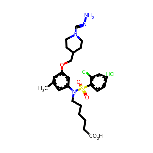 Cc1cc(OCC2CCN(C=NN)CC2)cc(N(CCCCCC(=O)O)S(=O)(=O)c2ccccc2Cl)c1.Cl